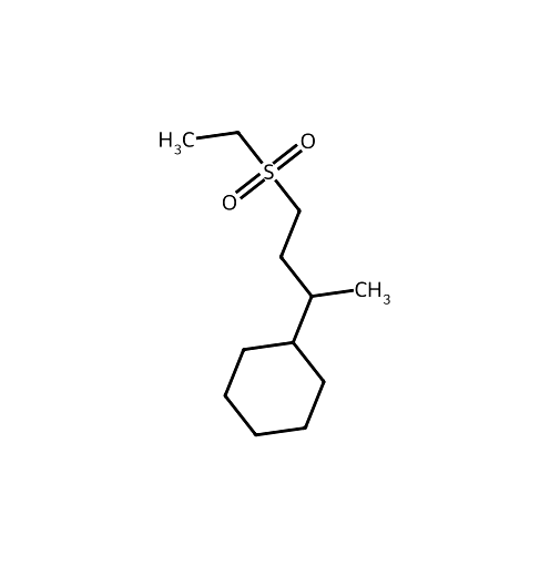 CCS(=O)(=O)CCC(C)C1CCCCC1